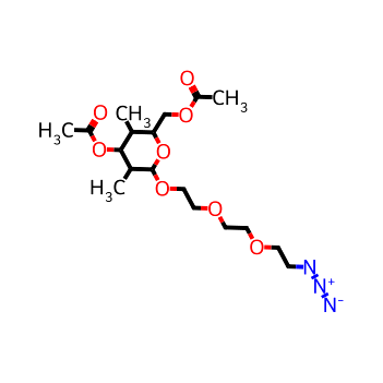 CC(=O)OCC1OC(OCCOCCOCCN=[N+]=[N-])C(C)C(OC(C)=O)C1C